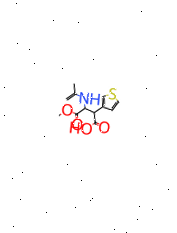 C=C(C)NC(C(=O)OC)C(C(=O)O)c1ccsc1